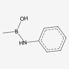 CB(O)Nc1ccccc1